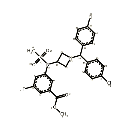 COC(=O)c1cc(F)cc(N(C2CN(C(c3ccc(Cl)cc3)c3ccc(Cl)cc3)C2)S(C)(=O)=O)c1